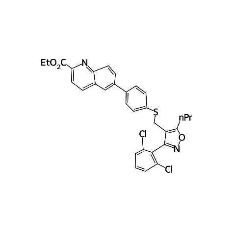 CCCc1onc(-c2c(Cl)cccc2Cl)c1CSc1ccc(-c2ccc3nc(C(=O)OCC)ccc3c2)cc1